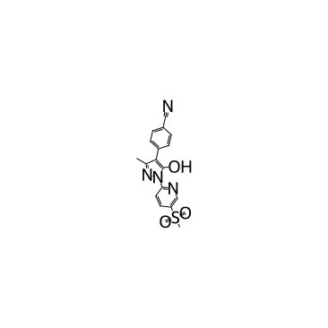 Cc1nn(-c2ccc(S(C)(=O)=O)cn2)c(O)c1-c1ccc(C#N)cc1